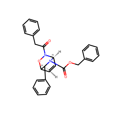 O=C(Cc1ccccc1)N1OC2C=C[C@H]1N(C(=O)OCc1ccccc1)[C@H]2c1ccccc1